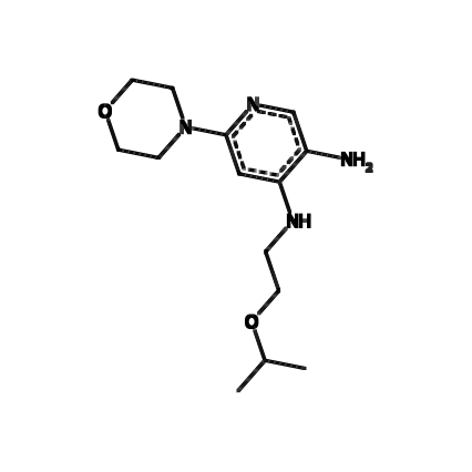 CC(C)OCCNc1cc(N2CCOCC2)ncc1N